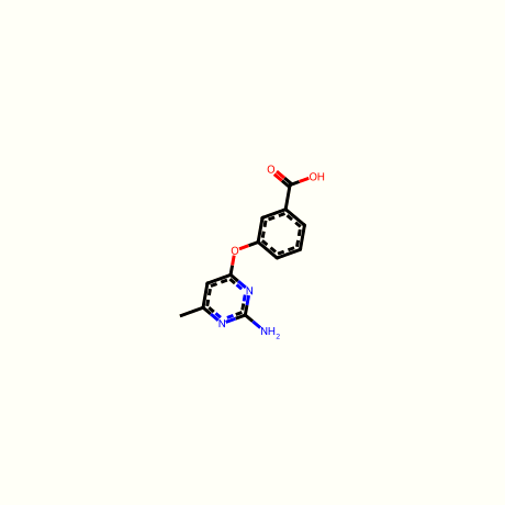 Cc1cc(Oc2cccc(C(=O)O)c2)nc(N)n1